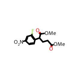 COC(=O)CCC(C(=O)OC)c1ccc([N+](=O)[O-])cc1F